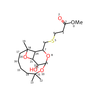 COC(=O)CCSCC1OC2OC(C)(C)CCCCC3(C)OC(C2O)C13